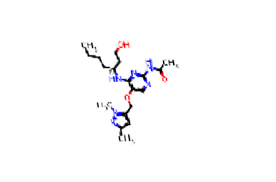 CCCC[C@@H](CCO)Nc1nc(NC(C)=O)ncc1OCc1cc(C)nn1C